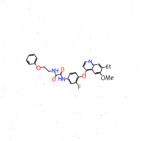 CCc1cc2nccc(Oc3ccc(NC(=O)C(=O)NCCOc4ccccc4)cc3F)c2cc1OC